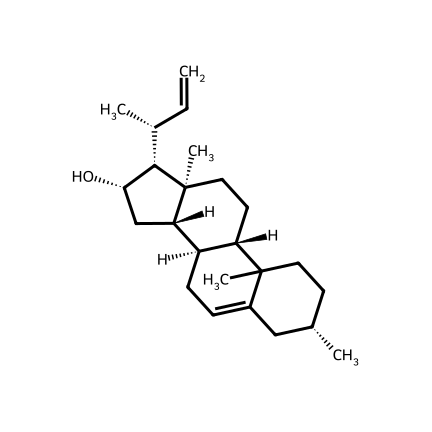 C=C[C@@H](C)[C@H]1[C@@H](O)C[C@H]2[C@@H]3CC=C4C[C@@H](C)CCC4(C)[C@H]3CC[C@]12C